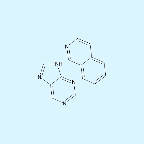 c1ccc2cnccc2c1.c1ncc2nc[nH]c2n1